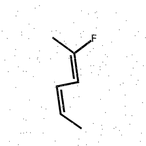 C/C=C\C=C(/C)F